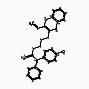 C=CC1=C(CCCCC(=C)[SiH](c2ccccc2)c2ccc(Cl)cc2)Oc2ccccc2O1